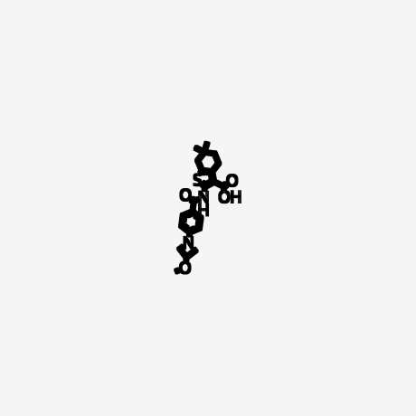 COC1CN(c2ccc(C(=O)Nc3sc4c(c3C(=O)O)CCC(C)(C)C4)cc2)C1